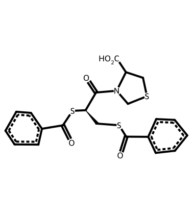 O=C(SC[C@@H](SC(=O)c1ccccc1)C(=O)N1CSCC1C(=O)O)c1ccccc1